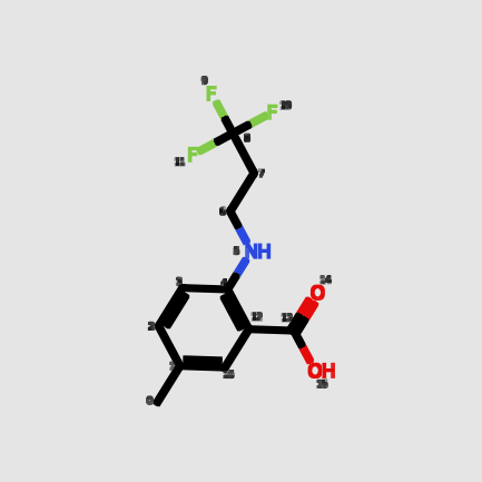 Cc1ccc(NCCC(F)(F)F)c(C(=O)O)c1